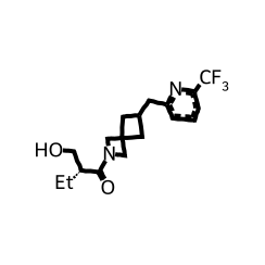 CC[C@H](CO)C(=O)N1CC2(CC(Cc3cccc(C(F)(F)F)n3)C2)C1